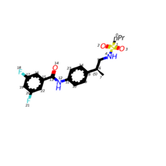 CCCS(=O)(=O)NC[C@@H](C)c1ccc(NC(=O)c2cc(F)cc(F)c2)cc1